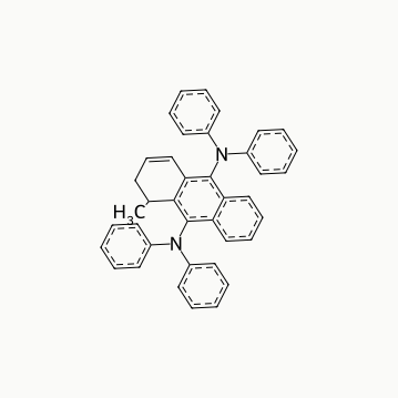 CC1CC=Cc2c1c(N(c1ccccc1)c1ccccc1)c1ccccc1c2N(c1ccccc1)c1ccccc1